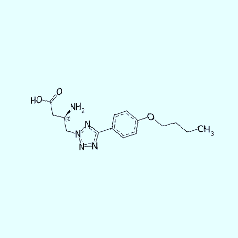 CCCCOc1ccc(-c2nnn(C[C@H](N)CC(=O)O)n2)cc1